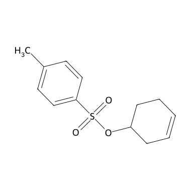 Cc1ccc(S(=O)(=O)OC2CC=CCC2)cc1